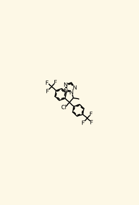 CC(n1ncnn1)C(Cl)(c1ccc(C(F)(F)F)cc1)c1ccc(C(F)(F)F)cc1